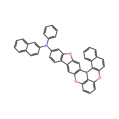 c1ccc(N(c2ccc3ccccc3c2)c2ccc3c(c2)oc2cc4c(cc23)Oc2cccc3c2B4c2c(ccc4ccccc24)O3)cc1